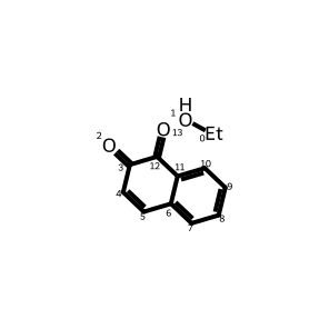 CCO.O=C1C=Cc2ccccc2C1=O